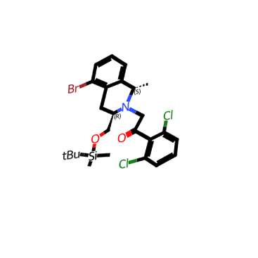 C[C@H]1c2cccc(Br)c2C[C@H](CO[Si](C)(C)C(C)(C)C)N1CC(=O)c1c(Cl)cccc1Cl